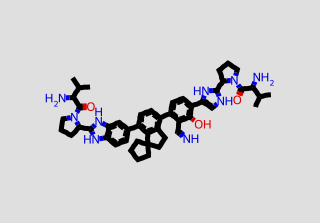 CC(C)C(N)C(=O)N1CCCC1C1NC=C(c2ccc(-c3ccc(-c4ccc5c(c4)NC(C4CCCN4C(=O)C(N)C(C)C)N5)c4c3CCC43CCCC3)c(C=N)c2O)N1